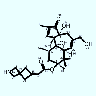 CC1=C[C@H]2[C@@]3(O)[C@H](C)C[C@@](C)(OC(=O)CC4CC5(CNC5)C4)C(C)(C)[C@@H]3C=C(CO)C[C@]2(O)C1=O